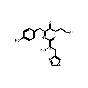 N[C@@H](Cc1c[nH]cn1)C(=O)N[C@@H](Cc1ccc(O)cc1)C(=O)NCC(=O)O